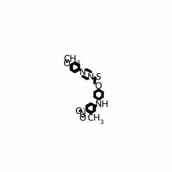 COc1ccc(N2CCN(C(=S)COC3CCC(Nc4ccc([N+](=O)[O-])c(C)c4)CC3)CC2)cc1